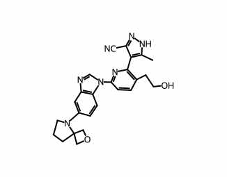 Cc1[nH]nc(C#N)c1-c1nc(-n2cnc3cc(N4CCCC45COC5)ccc32)ccc1CCO